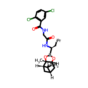 CC(C)C[C@H](NC(=O)CNC(=O)c1cc(Cl)ccc1Cl)B1O[C@@H]2C[C@@H]3C[C@@H](C3(C)C)[C@]2(C)O1